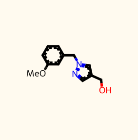 COc1cccc(Cn2cc(CO)cn2)c1